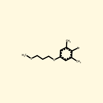 CSCCCOc1cc(C)c(Br)c(C)c1